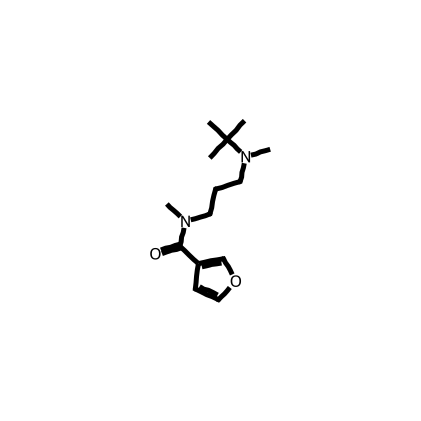 CN(CCCN(C)C(C)(C)C)C(=O)c1ccoc1